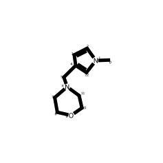 Cn1ccc(CN2CCOCC2)c1